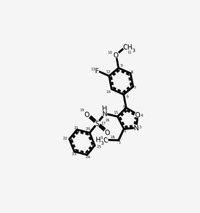 CCc1noc(-c2ccc(OC)c(F)c2)c1NS(=O)(=O)c1ccccc1